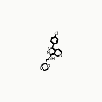 Clc1ccc(-c2nnc(NC[C@@H]3COCCO3)c3cnccc23)cc1